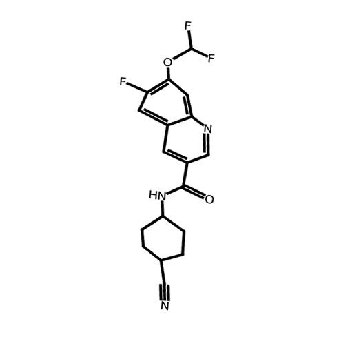 N#CC1CCC(NC(=O)c2cnc3cc(OC(F)F)c(F)cc3c2)CC1